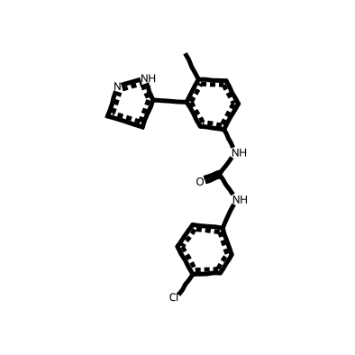 Cc1ccc(NC(=O)Nc2ccc(Cl)cc2)cc1-c1ccn[nH]1